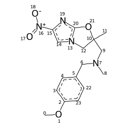 COc1ccc(CN(C)CC2(C)Cn3cc([N+](=O)[O-])nc3O2)cc1